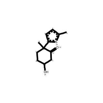 Cc1ccc(C2(C)CCC(O)CC2=O)s1